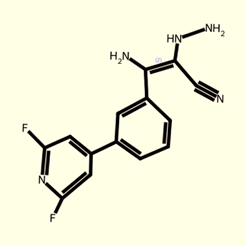 N#C/C(NN)=C(/N)c1cccc(-c2cc(F)nc(F)c2)c1